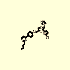 CCCCc1nccc(-c2ccc(OCC3COC(Cn4ccnc4)(c4ccc(Cl)s4)O3)cc2)n1